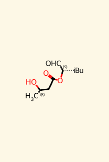 CCC(C)[C@@H](C=O)OC(=O)C[C@@H](C)O